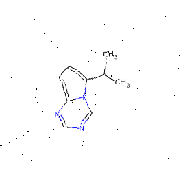 CC(C)c1ccc2ncncn12